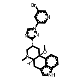 CO[C@]12C[C@@H](c3ncn(-c4cncc(Br)c4)n3)CN(C)[C@@H]1Cc1c[nH]c3cccc2c13